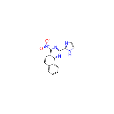 O=[N+]([O-])c1nc(-c2ncc[nH]2)nc2c1ccc1ccccc12